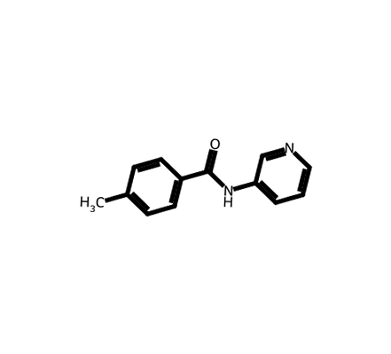 Cc1ccc(C(=O)Nc2cccnc2)cc1